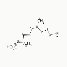 CC(/C=C/CC(C)CCCC(C)C)=C\C(=O)O